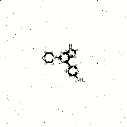 Nc1cnc(-c2nc(N3CCOCC3)nc3[nH]cnc23)cn1